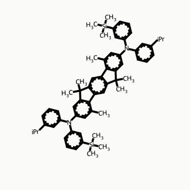 Cc1cc(N(c2cccc(C(C)C)c2)c2cccc([Si](C)(C)C)c2)cc2c1-c1cc3c(cc1C2(C)C)-c1c(C)cc(N(c2cccc(C(C)C)c2)c2cccc([Si](C)(C)C)c2)cc1C3(C)C